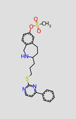 CS(=O)(=O)Oc1ccc2c(c1)CCC(CCCSc1nccc(-c3ccccc3)n1)NC2